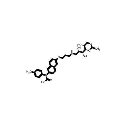 [CH2]c1ccc(N(C(=O)O)c2ccc3cc(OCCCNC[C@H](O)[C@@H](O)[C@@H]4OC(C)OC[C@H]4O)ccc3c2)cc1